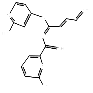 C=C/C=C/C(=N\C(=N)c1cccc(C(F)(F)F)n1)Nc1ccnc(C)c1